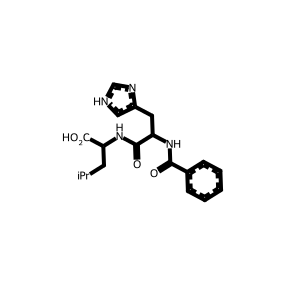 CC(C)CC(NC(=O)C(Cc1c[nH]cn1)NC(=O)c1ccccc1)C(=O)O